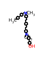 CCN(Cc1ccc(-c2ccc(C)cc2)cc1)c1ccc(C=Cc2ccc(C=Cc3ccc(N(CC)Cc4ccc(-c5ccc(O)cc5)cc4)cc3)cc2)cc1